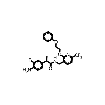 CC(C(=O)NCc1ccc(C(F)(F)F)nc1OCCOc1ccccc1)c1ccc(N)c(F)c1